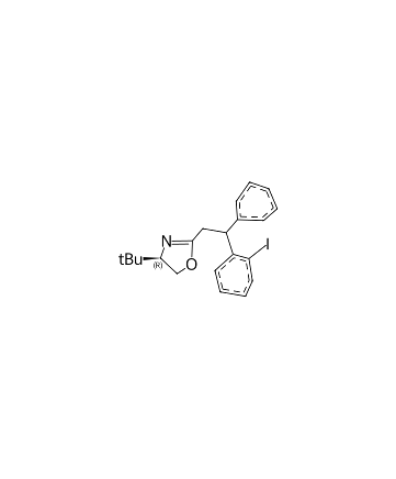 CC(C)(C)[C@@H]1COC(CC(c2ccccc2)c2ccccc2I)=N1